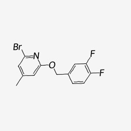 Cc1cc(Br)nc(OCc2ccc(F)c(F)c2)c1